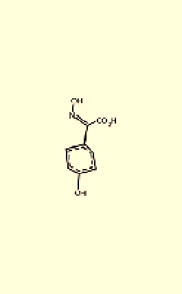 O=C(O)C(=NO)c1ccc(O)cc1